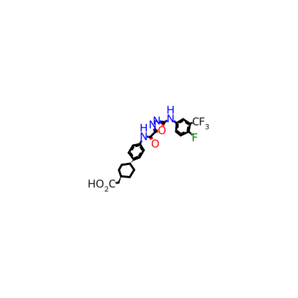 O=C(O)C[C@H]1CC[C@H](c2ccc(NC(=O)c3nnc(Nc4ccc(F)c(C(F)(F)F)c4)o3)cc2)CC1